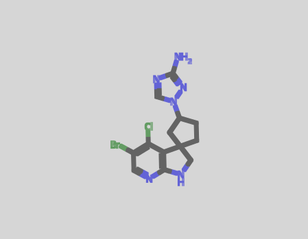 Nc1ncn(C2CCC3(CNc4ncc(Br)c(Cl)c43)C2)n1